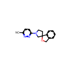 N#Cc1ccc(N2CCC3(C2)OCc2ccccc23)nn1